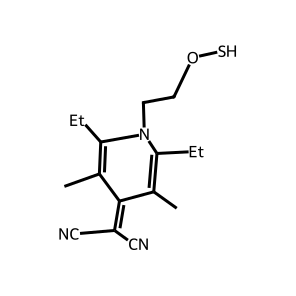 CCC1=C(C)C(=C(C#N)C#N)C(C)=C(CC)N1CCOS